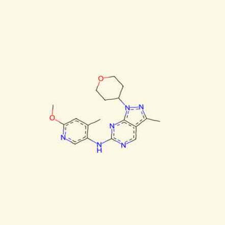 COc1cc(C)c(Nc2ncc3c(C)nn(C4CCOCC4)c3n2)cn1